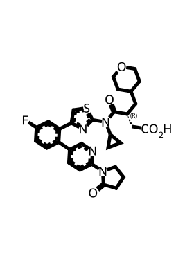 O=C(O)C[C@@H](CC1CCOCC1)C(=O)N(c1nc(-c2cc(F)ccc2-c2ccc(N3CCCC3=O)nc2)cs1)C1CC1